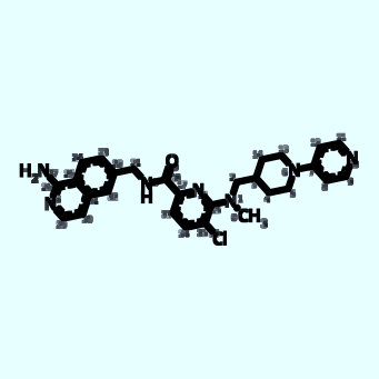 CN(CC1CCN(c2ccncc2)CC1)c1nc(C(=O)NCc2ccc3c(N)nccc3c2)ccc1Cl